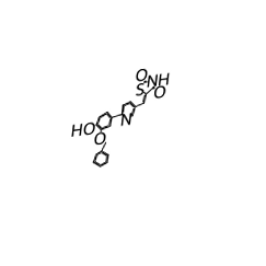 O=C1NC(=O)/C(=C/c2ccc(-c3ccc(O)c(OCc4ccccc4)c3)nc2)S1